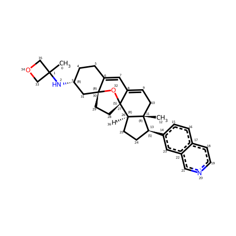 CC1(N[C@@H]2CCC3=CC4=CC[C@]5(C)[C@@H](c6ccc7ccncc7c6)CC[C@H]5[C@@]45CC[C@]3(C2)O5)COC1